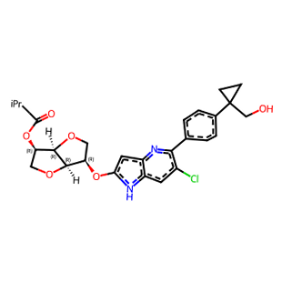 CC(C)C(=O)O[C@@H]1CO[C@H]2[C@@H]1OC[C@H]2Oc1cc2nc(-c3ccc(C4(CO)CC4)cc3)c(Cl)cc2[nH]1